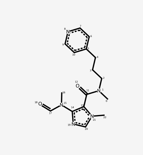 CN(CCCc1ccncc1)C(=O)c1c(N(C)C=O)ncn1C